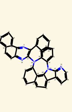 c1ccc(-c2nc3c(ccc4ccccc43)nc2-n2c3cccc4ccc5c6cccnc6n(c6ccccc62)c5c43)cc1